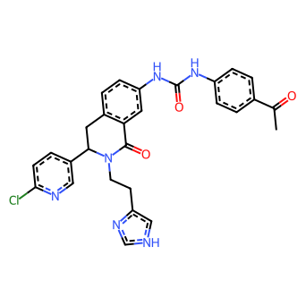 CC(=O)c1ccc(NC(=O)Nc2ccc3c(c2)C(=O)N(CCc2c[nH]cn2)C(c2ccc(Cl)nc2)C3)cc1